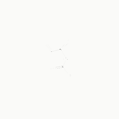 C=CC(=C)NC(=O)C(C)(C)C